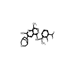 Cc1nnc(N[C@H](C)c2cccc(C(F)F)c2F)c2cc(N3C4CCC3COC4)c(O)nc12